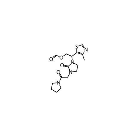 Cc1ncsc1C(COC=O)N1CCN(CC(=O)N2CCCC2)C1=O